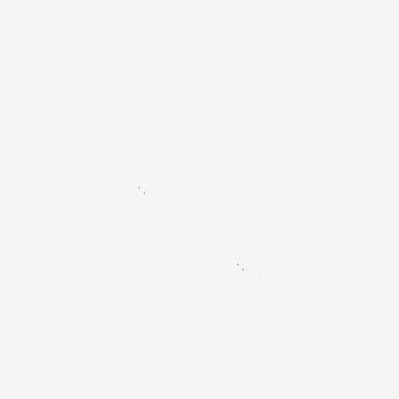 CC/C=C\CC(C(O)CC(O)C(CCCCCCCC=O)[N+](=O)[O-])[N+](=O)[O-]